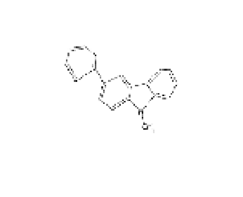 Cn1c2ccccc2c2cc(-c3ccccc3)ccc21